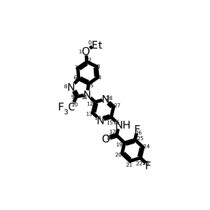 CCOc1ccc2c(c1)nc(C(F)(F)F)n2-c1cnc(NC(=O)c2ccc(F)cc2F)cn1